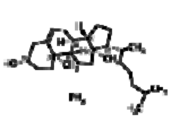 CC(C)CCCC(C)[C@H]1CC[C@H]2[C@@H]3CC=C4C[C@@H](O)CC[C@]4(C)[C@H]3CC[C@]12C.P